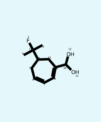 CC(C)(F)C1CC=CC=C(C(O)O)C1